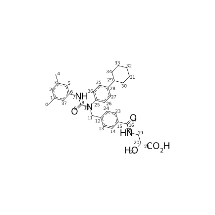 Cc1cc(C)cc(NC(=O)N(Cc2ccc(C(=O)NC[C@@H](O)C(=O)O)cc2)c2ccc(C3CCCCC3)cc2)c1